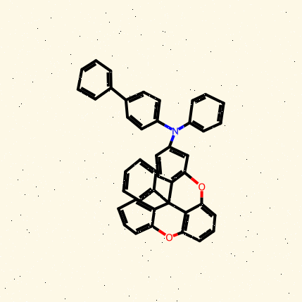 c1ccc(-c2ccc(N(c3ccccc3)c3ccc4c(c3)Oc3cccc5c3C4(c3ccccc3)c3ccccc3O5)cc2)cc1